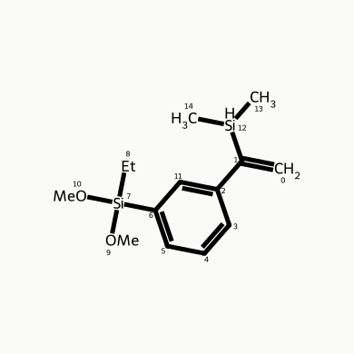 C=C(c1cccc([Si](CC)(OC)OC)c1)[SiH](C)C